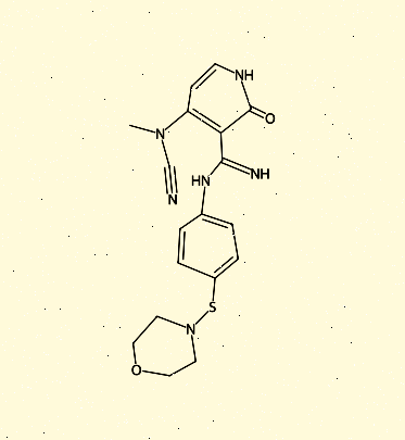 CN(C#N)c1cc[nH]c(=O)c1C(=N)Nc1ccc(SN2CCOCC2)cc1